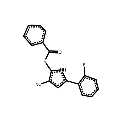 N#Cc1cc(-c2ccccc2F)[nH]c1SC(=O)c1ccccc1